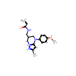 C=CC(=O)NCC1CN(c2ccc(OC(F)(F)F)cc2)c2cc(C(F)(F)F)nn2C1